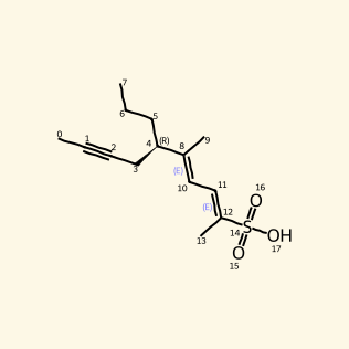 CC#CC[C@@H](CCC)/C(C)=C/C=C(\C)S(=O)(=O)O